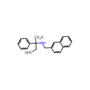 O=CCC(NCc1ccc2ccccc2c1)(C(=O)O)c1ccccc1